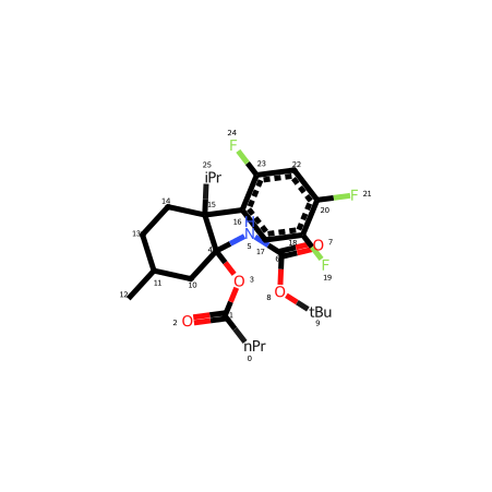 CCCC(=O)OC1(NC(=O)OC(C)(C)C)CC(C)CCC1(c1cc(F)c(F)cc1F)C(C)C